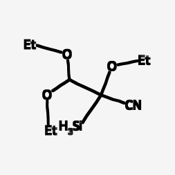 CCOC(OCC)C([SiH3])(C#N)OCC